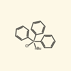 CCCCP(Cl)(c1ccccc1)(c1ccccc1)c1ccccc1